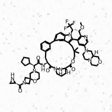 CO[C@@H](C)c1ncc(N2CCN3CCOC[C@@H]3C2)cc1-c1c2c3cc(ccc3n1CC(F)(F)F)-c1cccc(c1)C[C@H](NC(=O)[C@H](C1CCCC1)N1CCOC3(CN(C(=O)[C@H]4CN4)C3)C1)C(=O)N1CCC[C@H](N1)C(=O)OCC(C)(C)C2